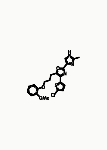 COc1ccccc1OCCCc1oc(-c2c[nH]c(C)n2)nc1-c1ccc(Cl)s1